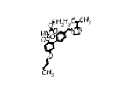 CCCCOc1ccc(S(=O)(=O)NC(=O)OC)c(-c2ccc(Cn3ccnc3C(C)C)cc2)c1